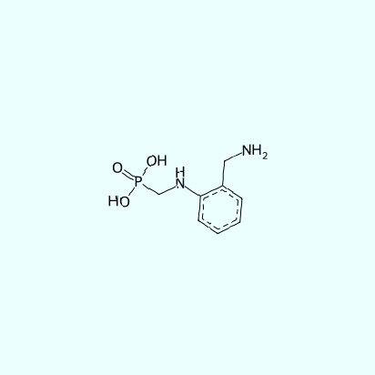 NCc1ccccc1NCP(=O)(O)O